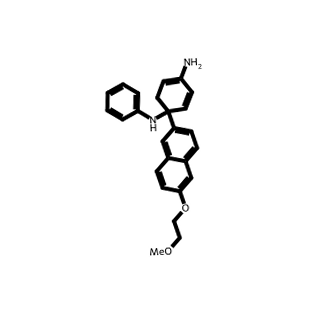 COCCOc1ccc2cc(C3(Nc4ccccc4)C=CC(N)=CC3)ccc2c1